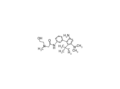 CN(CCO)CC(=O)Nc1cccc(-c2c(N)sc(N(C)C)c2C(C)(C)C)c1